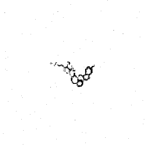 CCCN[C@@H](C)C(=O)N[C@H]1CCc2ccc#cc2N(Cc2c(O)ccc3cc(Br)ccc23)C1=O